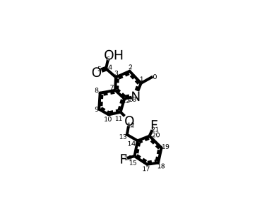 Cc1cc(C(=O)O)c2cccc(OCc3c(F)cccc3F)c2n1